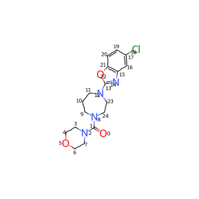 O=C(N1CCOCC1)N1CCCN(c2nc3cc(Cl)ccc3o2)CC1